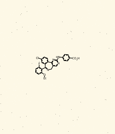 CCOc1cccc(F)c1C1=NCc2cnc(Nc3ccc(C(=O)O)cc3)nc2-c2ccc(Cl)cc21